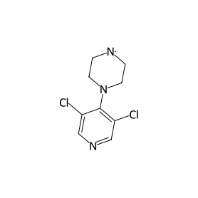 Clc1cncc(Cl)c1N1CC[N]CC1